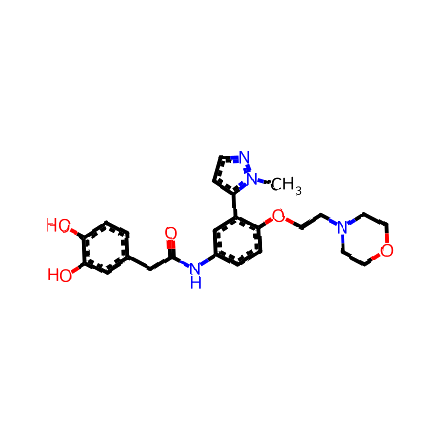 Cn1nccc1-c1cc(NC(=O)Cc2ccc(O)c(O)c2)ccc1OCCN1CCOCC1